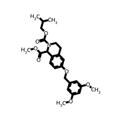 COC(=O)C1c2ccc(OCc3cc(OC)cc(OC)c3)cc2CCN1C(=O)OCC(C)C